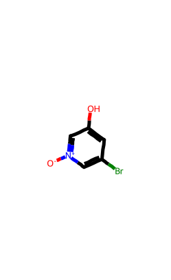 [O-][n+]1cc(O)cc(Br)c1